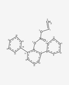 C=COC(=O)Oc1c(-c2ccccc2)cccc1-c1ccccc1